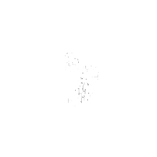 Nc1nc(Cl)nc2c1ncn2[C@@H]1O[C@H](COC(Cc2ccc(C[SH](=O)=O)cc2)(C(=O)O)C(=O)O)[C@@H](O)[C@@H]1F